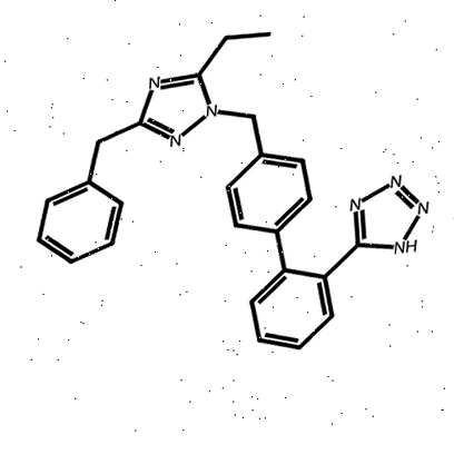 CCc1nc(Cc2ccccc2)nn1Cc1ccc(-c2ccccc2-c2nnn[nH]2)cc1